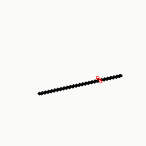 CCCCCCCCCCCCCCCCCCCCCCCCCCCCCCCCCCCCCCCC(=O)OCCCCCCCCCCCCCC